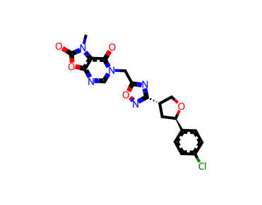 Cn1c(=O)oc2ncn(Cc3nc([C@@H]4CO[C@@H](c5ccc(Cl)cc5)C4)no3)c(=O)c21